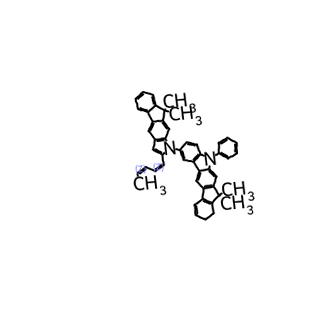 C/C=C\C=C/c1cc2cc3c(cc2n1-c1ccc2c(c1)c1cc4c(cc1n2-c1ccccc1)C(C)(C)C1=C4C=CCC1)C(C)(C)c1ccccc1-3